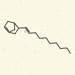 CCCCCCCC/C=C/C1CC2=CCC1C2